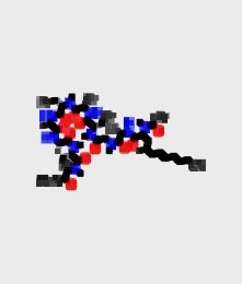 CCCC(=O)N(C)C(C[C@H](C)C/C=C/CCCC#N)C(=O)N[C@@H](CC)C(=O)N(C)CC(=O)N(C)[C@@H](CC(C)C)C(=O)N[C@H](C(=O)N(C)[C@@H](CC(C)C)C(=O)N[C@H](C)C(=O)N[C@@H](C)C(=O)N(C)[C@@H](CC(C)C)C(=O)N(C)CC(=O)NC)C(C)C